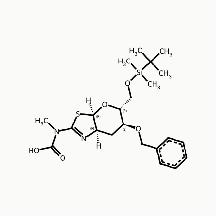 CN(C(=O)O)C1=N[C@@H]2C[C@H](OCc3ccccc3)[C@@H](CO[Si](C)(C)C(C)(C)C)O[C@@H]2S1